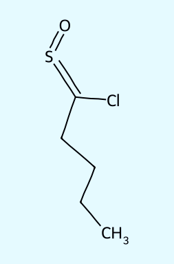 CCCCC(Cl)=S=O